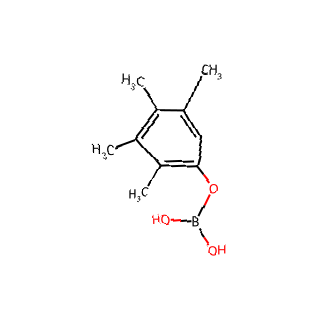 Cc1cc(OB(O)O)c(C)c(C)c1C